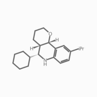 CC(C)c1ccc2c(c1)[C@H]1OCCC[C@H]1[C@@H](C1CCCCC1)N2